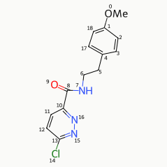 COc1ccc(CCNC(=O)c2ccc(Cl)nn2)cc1